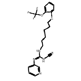 N#CNC(=Nc1cccnc1)NCCCCCCOc1ccccc1OC(F)(F)F